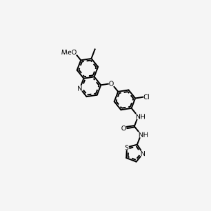 COc1cc2nccc(Oc3ccc(NC(=O)Nc4nccs4)c(Cl)c3)c2cc1C